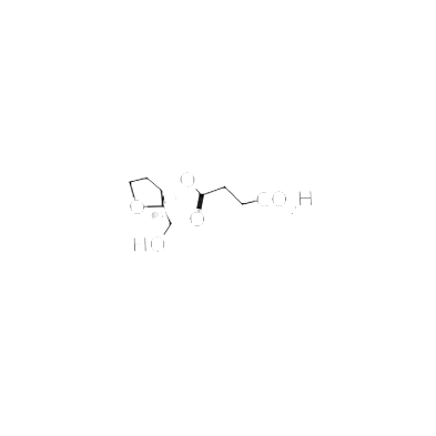 O=C(O)CCC(=O)O[C@H]1CCO[C@@H]1CO